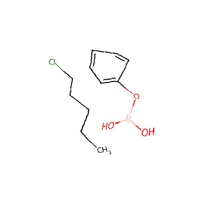 CCCCCCl.OB(O)Oc1ccccc1